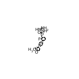 Cn1cc(N2CCN(c3cccc(COC(=O)NC(=N)N)c3F)CC2)ccc1=O